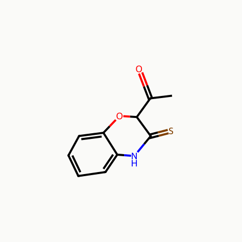 CC(=O)C1Oc2ccccc2NC1=S